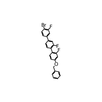 Fc1cc(-c2ccc(-c3ccc(OCc4ccccc4)cc3F)c(F)c2)ccc1Br